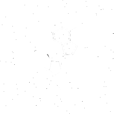 C[C@@]1(O)[C@@H](CO)O[C@@H](n2ccc3c(Cl)cccc32)[C@@H]1O